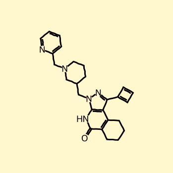 O=c1[nH]c2c(c(C3=CC=C3)nn2CC2CCCN(Cc3ccccn3)C2)c2c1CCCC2